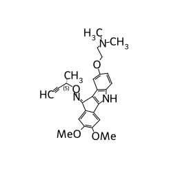 C#C[C@H](C)ON=C1c2cc(OC)c(OC)cc2-c2[nH]c3ccc(OCCN(C)C)cc3c21